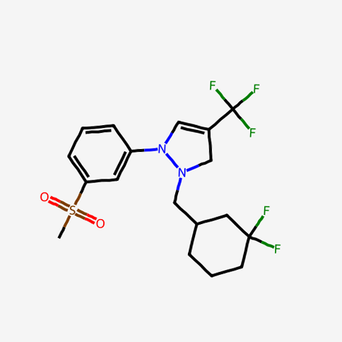 CS(=O)(=O)c1cccc(N2C=C(C(F)(F)F)CN2CC2CCCC(F)(F)C2)c1